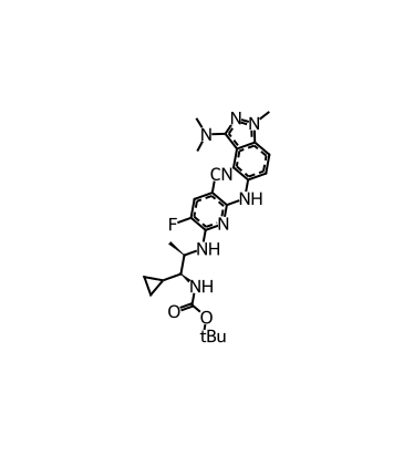 C[C@@H](Nc1nc(Nc2ccc3c(c2)c(N(C)C)nn3C)c(C#N)cc1F)[C@@H](NC(=O)OC(C)(C)C)C1CC1